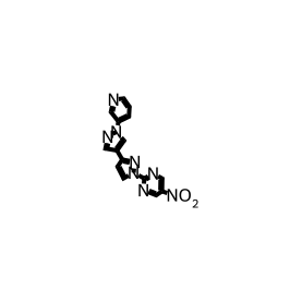 O=[N+]([O-])c1cnc(-n2ccc(-c3cnn(-c4cccnc4)c3)n2)nc1